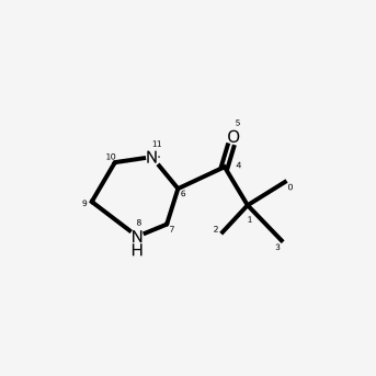 CC(C)(C)C(=O)C1CNCC[N]1